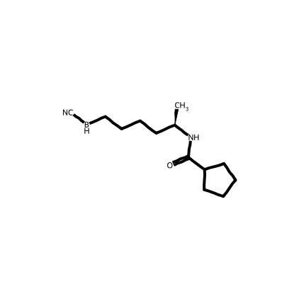 C[C@H](CCCCBC#N)NC(=O)C1CCCC1